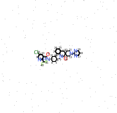 O=C(N[C@H]1CC[C@H](CN2C(=O)C3(CCN(c4ncccn4)CC3)Cc3ccccc32)CC1)c1cc(Cl)cnc1C(F)F